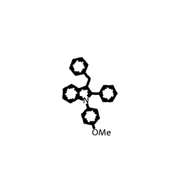 COc1ccc(-n2c(-c3ccccc3)c(Cc3ccccc3)c3ccccc32)cc1